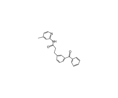 Cc1ccnc(NC(=O)CCc2cccc(C(=O)c3ccccc3)c2)c1